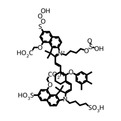 Cc1cc(OC2=C(/C=C/C3=[N+](CCCCOS(=O)O)c4ccc5cc(SOOO)cc(OCC(=O)O)c5c4C3(C)C)CCC/C2=C\C=C2\N(CCCCS(=O)(=O)O)c3ccc4cc(S(=O)(=O)O)cc(OCC(=O)O)c4c3C2(C)C)cc(C)c1C